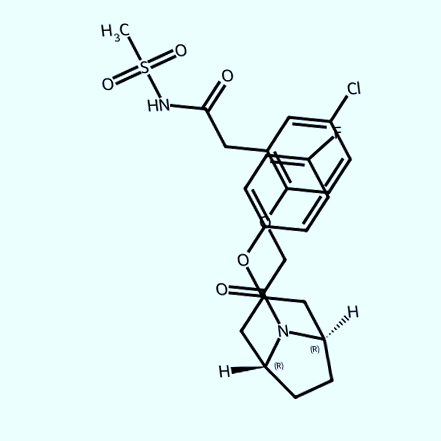 CS(=O)(=O)NC(=O)Cc1cc(Cl)ccc1OCC(=O)N1[C@@H]2CC[C@@H]1CC(Oc1ccc(F)cc1)C2